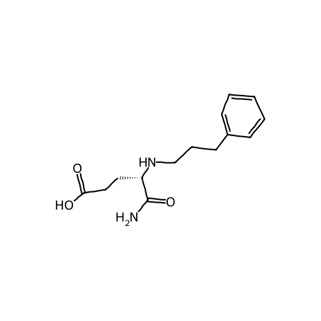 NC(=O)[C@H](CCC(=O)O)NCCCc1ccccc1